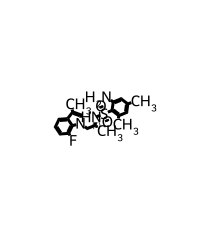 Cc1cc(C)c(S(=O)(=O)N[C@@H](C)Cn2cc(C)c3cccc(F)c32)c(N)c1